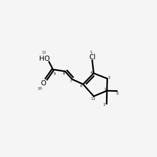 CC1(C)CC(Cl)=C(C=CC(=O)O)C1